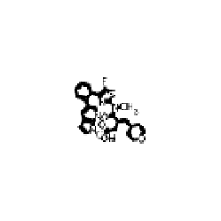 CN(C(=O)C(CC(=O)O)CC1CCOCC1)c1nc(-c2ccccc2-c2cnc3c(ccn3C)c2)c(F)s1